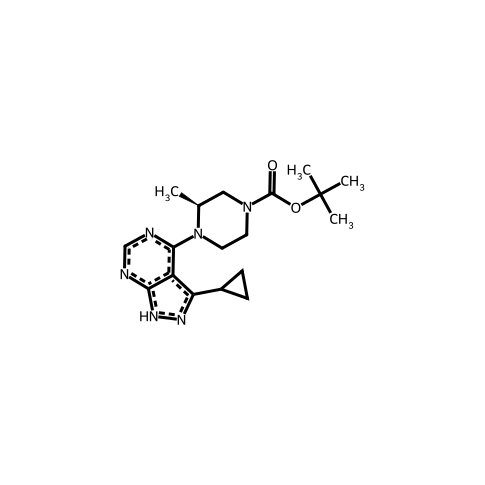 C[C@H]1CN(C(=O)OC(C)(C)C)CCN1c1ncnc2[nH]nc(C3CC3)c12